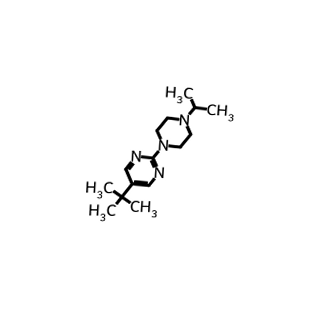 CC(C)N1CCN(c2ncc(C(C)(C)C)cn2)CC1